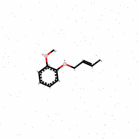 CC=CCOc1ccccc1OC